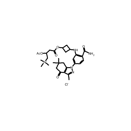 CC(=O)OC(CC(=O)OC1CC(Nc2cc(-n3nc(C)c4c3CC(C)(C)CC4=O)ccc2C(N)=O)C1)C[N+](C)(C)C.[Cl-]